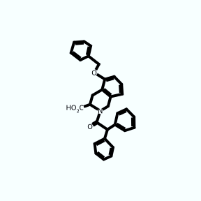 O=C(O)C1Cc2c(cccc2OCc2ccccc2)CN1C(=O)C(c1ccccc1)c1ccccc1